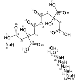 Cl.O.O.O=C(O)CC(O)(CC(=O)OC(=O)CC(O)(CC(=O)O)C(=O)O)C(=O)O.[NaH].[NaH].[NaH].[NaH].[NaH].[NaH]